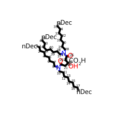 CCCCCCCCCCCCCCCCCCN(CCCCCCCCCCCCCCCCCC)C(=O)CC(O)(CC(=O)N(CCCCCCCCCCCCCCCCCC)CCCCCCCCCCCCCCCCCC)C(=O)O